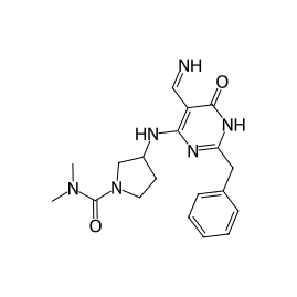 CN(C)C(=O)N1CCC(Nc2nc(Cc3ccccc3)[nH]c(=O)c2C=N)C1